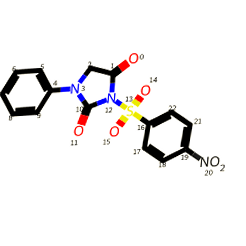 O=C1CN(c2ccccc2)C(=O)N1S(=O)(=O)c1ccc([N+](=O)[O-])cc1